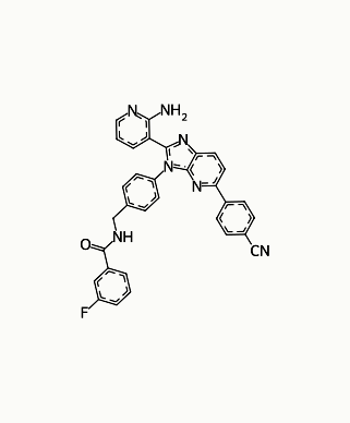 N#Cc1ccc(-c2ccc3nc(-c4cccnc4N)n(-c4ccc(CNC(=O)c5cccc(F)c5)cc4)c3n2)cc1